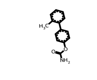 Cc1ccccc1-c1ccc(OC(N)=O)cc1